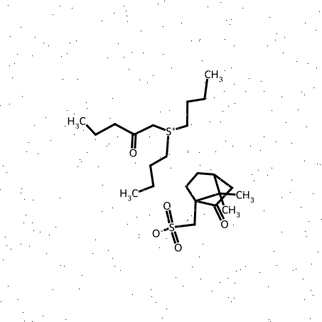 CC1(C)C2CCC1(CS(=O)(=O)[O-])C(=O)C2.CCCC[S+](CCCC)CC(=O)CCC